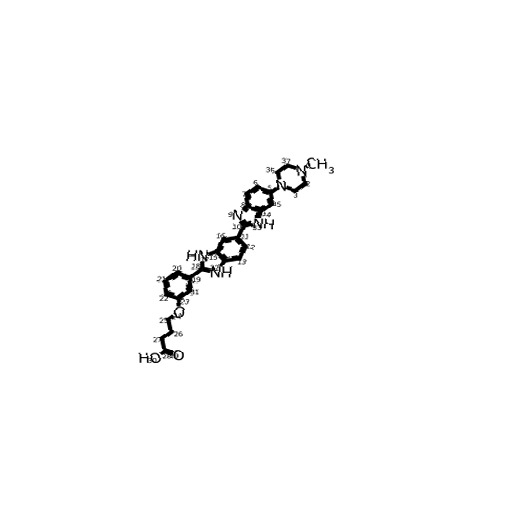 CN1CCN(c2ccc3nc(-c4ccc5c(c4)NC(c4cccc(OCCCC(=O)O)c4)N5)[nH]c3c2)CC1